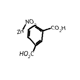 O=C(O)c1cccc(C(=O)O)c1.O=[N+]([O-])[Zn]